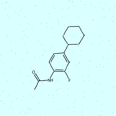 CC(=O)Nc1ccc(C2CCCCC2)cc1F